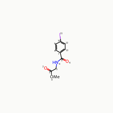 COC(=O)CNC(=O)c1ccc(I)cc1